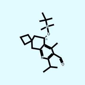 Cc1c(C=O)c(C(C)C)nc2c1[C@@H](O[Si](C)(C)C(C)(C)C)CC1(CCC1)C2